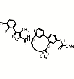 COC(=O)Nc1ccc2c(c1)NC(=O)[C@H](C)CCC[C@H](NC(=O)c1onc(-c3cccc(Cl)c3F)c1C)c1cc-2ccn1